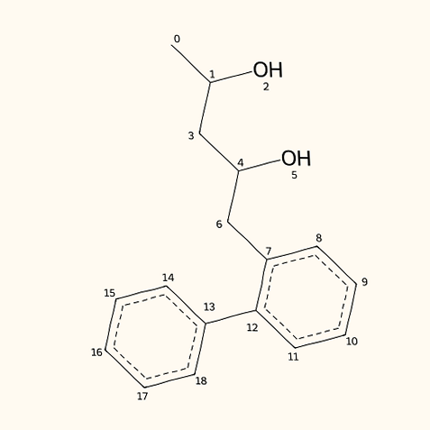 CC(O)CC(O)Cc1ccccc1-c1ccccc1